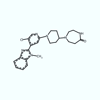 Cn1c(-c2cc(N3CCC(N4CCNC(=O)CC4)CC3)ncc2Cl)nc2ccccc21